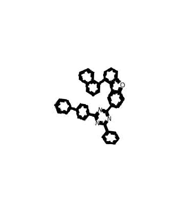 c1ccc(-c2ccc(-c3nc(-c4ccccc4)nc(-c4ccc5oc6cccc(-c7cccc8ccccc78)c6c5c4)n3)cc2)cc1